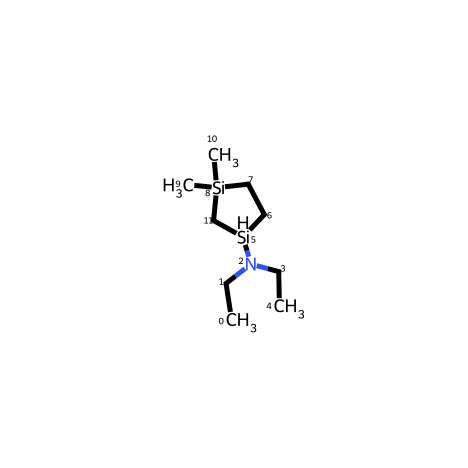 CCN(CC)[SiH]1CC[Si](C)(C)C1